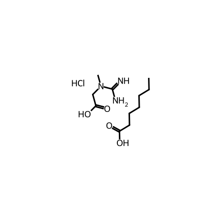 CCCCCCC(=O)O.CN(CC(=O)O)C(=N)N.Cl